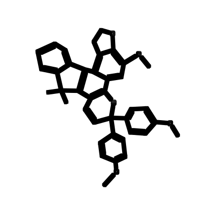 COc1ccc(C2(c3ccc(OC)cc3)C=Cc3c4c(c5c6c(c(OC)cc5c3O2)OCC6)-c2ccccc2C4(C)C)cc1